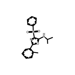 Cc1ccccc1-c1nc(S(=O)(=O)c2ccccc2)c(NC(C)C)o1